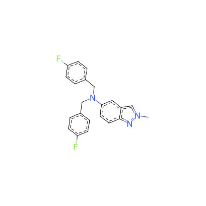 Cn1cc2cc(N(Cc3ccc(F)cc3)Cc3ccc(F)cc3)ccc2n1